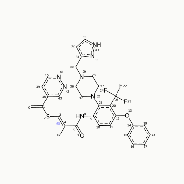 C=C(S/C=C(\C)C(=O)Nc1ccc(Oc2ccccc2)c(C(F)(F)F)c1N1CCN(Cc2cc[nH]n2)CC1)c1ccnnc1